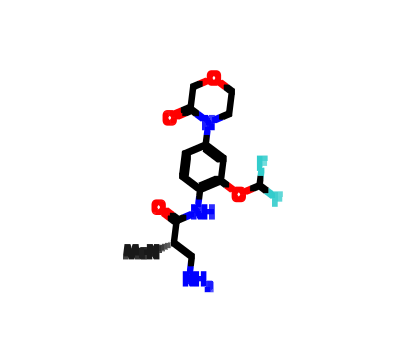 CN[C@@H](CN)C(=O)Nc1ccc(N2CCOCC2=O)cc1OC(F)F